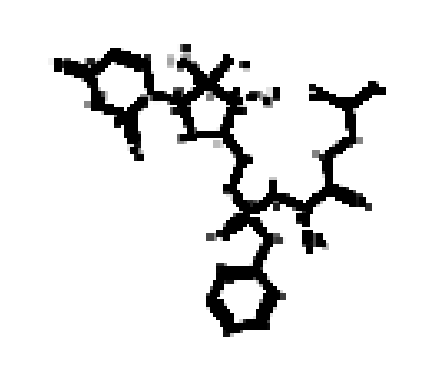 CCC(CC)COC(=O)[C@H](C)NP(=O)(OCC1O[C@@H](n2ccc(=O)[nH]c2=O)[C@](C)(N)[C@@H]1O)Oc1ccccc1